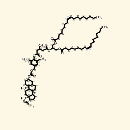 CCCCCCCC/C=C\CCCCCCCC(=O)OCC(COC(=O)CCCCCCC/C=C\CCCCCCCC)OC(=O)CC(C)CC(=O)Oc1c(C)cc(COC(=O)O[C@H]2CC[C@@]3(C)C(CC[C@@H]4C3CC[C@@]3(C)C4CC[C@@H]3C(C)=O)C2)cc1C